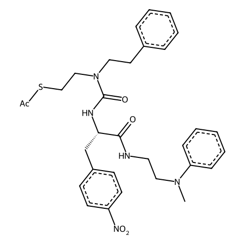 CC(=O)SCCN(CCc1ccccc1)C(=O)N[C@@H](Cc1ccc([N+](=O)[O-])cc1)C(=O)NCCN(C)c1ccccc1